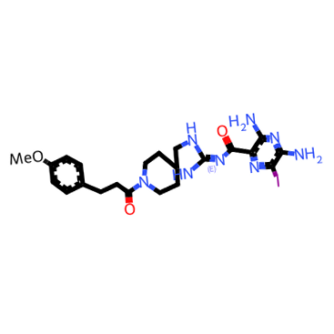 COc1ccc(CCC(=O)N2CCC3(CC2)CN/C(=N\C(=O)c2nc(I)c(N)nc2N)N3)cc1